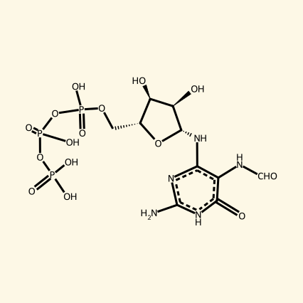 Nc1nc(N[C@@H]2O[C@H](COP(=O)(O)OP(=O)(O)OP(=O)(O)O)[C@@H](O)[C@H]2O)c(NC=O)c(=O)[nH]1